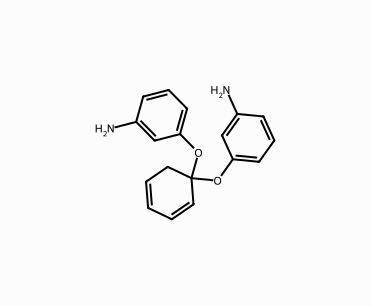 Nc1cccc(OC2(Oc3cccc(N)c3)C=CC=CC2)c1